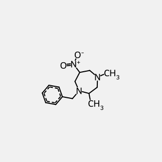 CC1CN(C)CC([N+](=O)[O-])CN1Cc1ccccc1